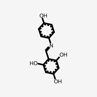 Oc1ccc(/N=C/c2c(O)cc(O)cc2O)cc1